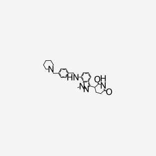 Cn1nc(C2CCC(=O)NC2=O)c2cccc(NCc3ccc(CN4CCCCC4)cc3)c21